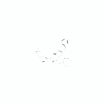 CC(C)(O)Cn1ccc(NC(=O)C(CC2CCCCC2)N2CC(Oc3ccccc3C(C)(C)C)=CC2=O)n1